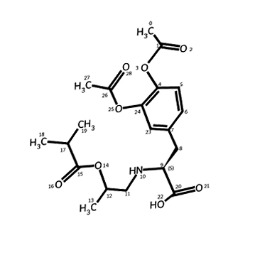 CC(=O)Oc1ccc(C[C@H](NCC(C)OC(=O)C(C)C)C(=O)O)cc1OC(C)=O